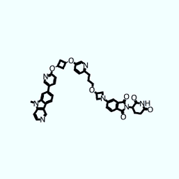 Cn1c2ccncc2c2ccc(-c3ccc(O[C@H]4C[C@@H](Oc5ccc(CCCOC6CN(c7ccc8c(c7)C(=O)N(C7CCC(=O)NC7=O)C8=O)C6)nc5)C4)nc3)cc21